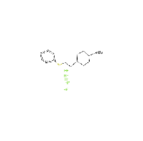 CCCCC1CCC(CCSc2ccccc2)CC1.F.F.F.F.F